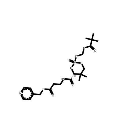 CC(C)(C)C(=O)OCOP1(=O)OCC(C)(C)[C@H](C(=O)NCCC(=O)OCc2ccncc2)O1